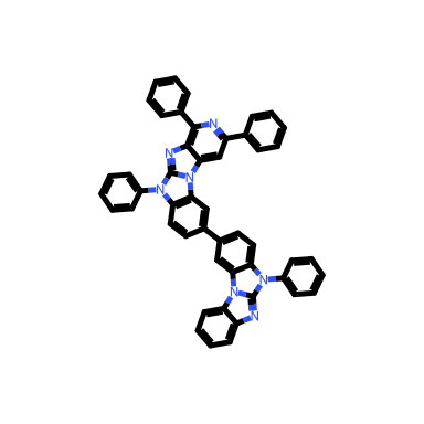 c1ccc(-c2cc3c(nc4n(-c5ccccc5)c5ccc(-c6ccc7c(c6)n6c8ccccc8nc6n7-c6ccccc6)cc5n34)c(-c3ccccc3)n2)cc1